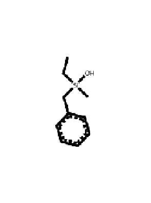 CC[Si](C)(O)Cc1ccccc1